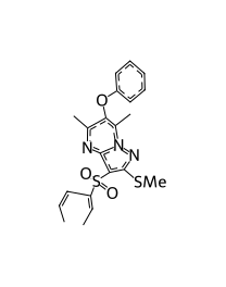 C/C=C\C(=C/C)S(=O)(=O)c1c(SC)nn2c(C)c(Oc3ccccc3)c(C)nc12